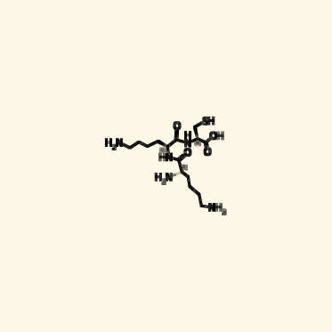 NCCCC[C@H](NC(=O)[C@@H](N)CCCCN)C(=O)N[C@@H](CS)C(=O)O